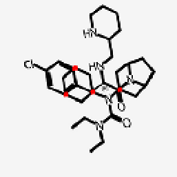 CCN(CC)C(=O)N(C1CCCCC1)C1CC2CCC(C1)N2C(=O)[C@@H](Cc1ccc(Cl)cc1)NCC1CCCCN1